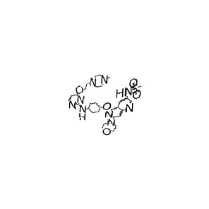 CN1CCN(CCOc2ccnc(NC3CCC(Oc4nc(N5CCOCC5)cc5ncc(NS(C)(=O)=O)cc45)CC3)n2)CC1